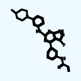 C=CC(=O)Nc1cccc(-c2nc(Nc3cccc(N4CCC(C)CC4)c3)nc3[nH]nc(F)c23)c1